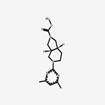 Cc1cc(C)nc(N2CC[C@H]3CN(C(=O)OC(C)(C)C)C[C@H]3C2)n1